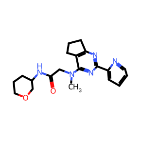 CN(CC(=O)NC1CCCOC1)c1nc(-c2ccccn2)nc2c1CCC2